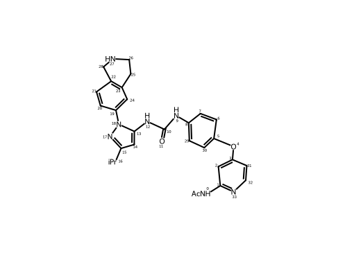 CC(=O)Nc1cc(Oc2ccc(NC(=O)Nc3cc(C(C)C)nn3-c3ccc4c(c3)CCNC4)cc2)ccn1